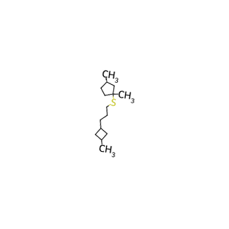 CC1CC(CCCSC2(C)CC[C@@H](C)C2)C1